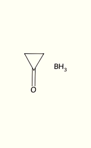 B.O=C1CC1